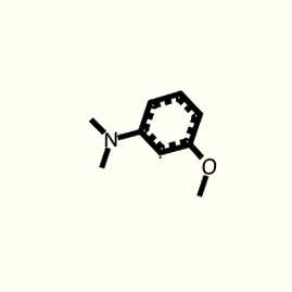 COc1[c]c(N(C)C)ccc1